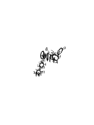 COc1cccc([C@@H](C)NC(=O)c2ccc(-c3ccncc3C)cc2)c1